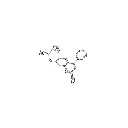 CC(=O)C(C)Oc1ccc2c(-c3ccccc3)cc(=O)oc2c1